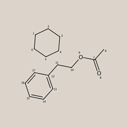 C1CCCCC1.CC(=O)OCCc1ccccc1